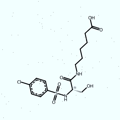 O=C(O)CCCCCNC(=O)[C@H](CO)NS(=O)(=O)c1ccc(Cl)cc1